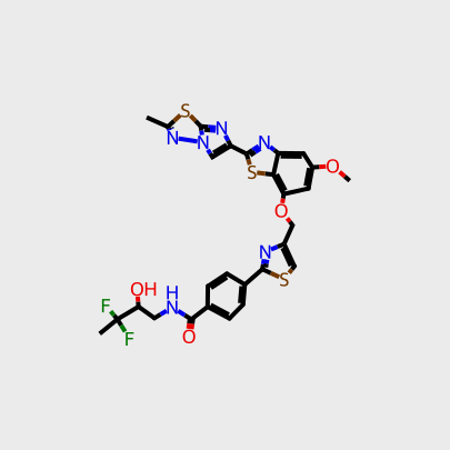 COc1cc(OCc2csc(-c3ccc(C(=O)NCC(O)C(C)(F)F)cc3)n2)c2sc(-c3cn4nc(C)sc4n3)nc2c1